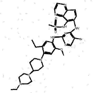 CCc1cc(Nc2ncc(Br)c(Nc3ccc4nccnc4c3NS(C)(=O)=O)n2)c(OC)cc1N1CCC(N2CCN(CC)CC2)CC1